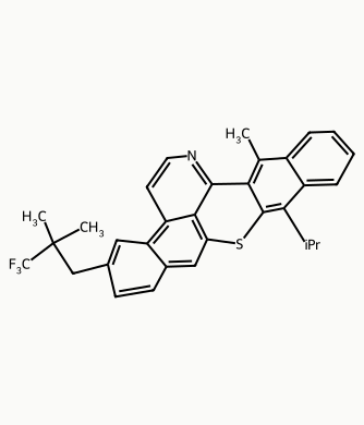 Cc1c2c(c(C(C)C)c3ccccc13)Sc1cc3ccc(CC(C)(C)C(F)(F)F)cc3c3ccnc-2c13